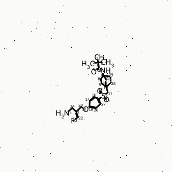 CC(C)(C)C(=O)NC12CCC(CS(=O)(=O)c3ccc(OCC(=CF)CN)cc3)(CC1)CC2